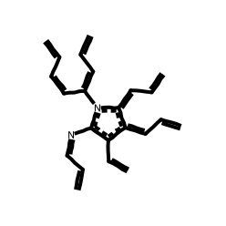 C=C/C=C\C(=C/C=C)n1c(/N=C\C=C)c(C=C)c(=C/C=C)/c1=C\C=C